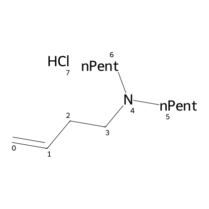 C=CCCN(CCCCC)CCCCC.Cl